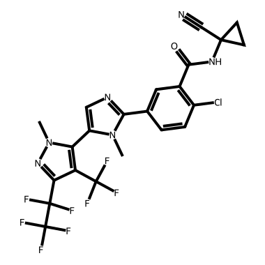 Cn1nc(C(F)(F)C(F)(F)F)c(C(F)(F)F)c1-c1cnc(-c2ccc(Cl)c(C(=O)NC3(C#N)CC3)c2)n1C